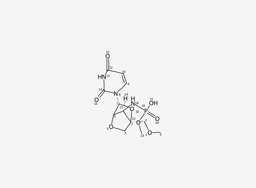 COC[C@@]12COC([C@H](n3ccc(=O)[nH]c3=O)O1)[C@H]2NP(=O)(O)OC